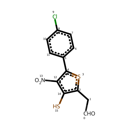 O=CCc1sc(-c2ccc(Cl)cc2)c([N+](=O)[O-])c1S